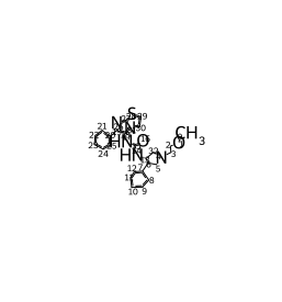 COCCN1CC(c2ccccc2)[C@H](NC(=O)Nc2c(-c3ccccc3)nc3sccn23)C1